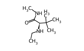 CCN[C@@H](C(=O)NC)C(C)(C)C